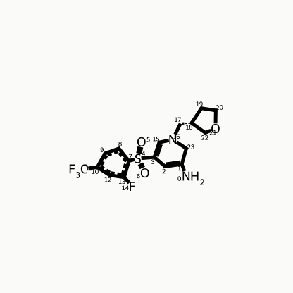 NC1=CC(S(=O)(=O)c2ccc(C(F)(F)F)cc2F)=CN(C[C@@H]2CCOC2)C1